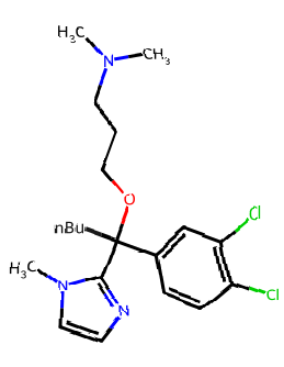 CCCCC(OCCCN(C)C)(c1ccc(Cl)c(Cl)c1)c1nccn1C